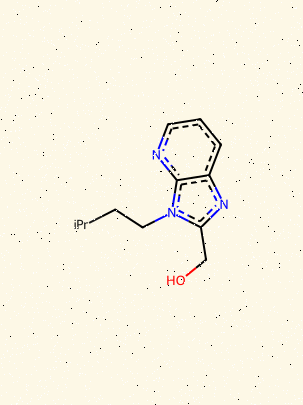 CC(C)CCn1c(CO)nc2cccnc21